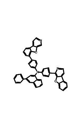 c1ccc(-c2cc(N(c3ccc(-c4cccc5c4oc4cnccc45)cc3)c3ccc(-c4nccc5c4oc4ccccc45)cc3)c3ccccc3c2)cc1